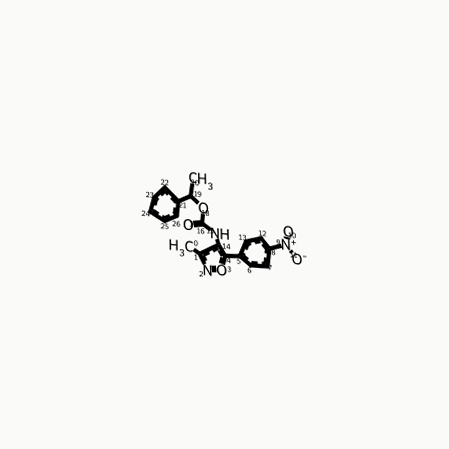 Cc1noc(-c2ccc([N+](=O)[O-])cc2)c1NC(=O)OC(C)c1ccccc1